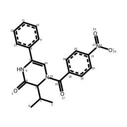 CC(C)C1C(=O)NC(c2ccccc2)=CN1C(=O)c1ccc([N+](=O)[O-])cc1